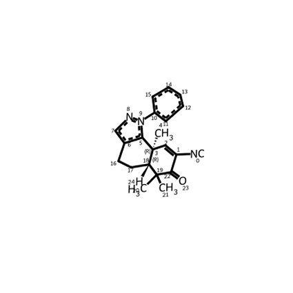 [C-]#[N+]C1=C[C@]2(C)c3c(cnn3-c3ccccc3)CC[C@H]2C(C)(C)C1=O